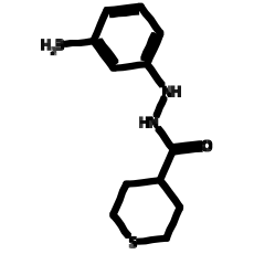 Bc1cccc(NNC(=O)C2CCSCC2)c1